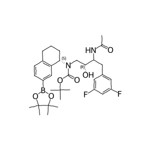 CC(=O)NC(Cc1cc(F)cc(F)c1)[C@H](O)CN(C(=O)OC(C)(C)C)[C@H]1CCCc2ccc(B3OC(C)(C)C(C)(C)O3)cc21